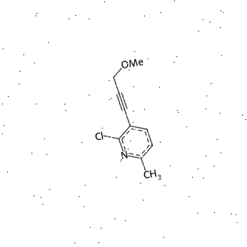 COCC#Cc1ccc(C)nc1Cl